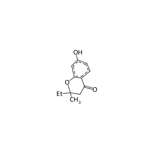 CCC1(C)CC(=O)c2ccc(O)cc2O1